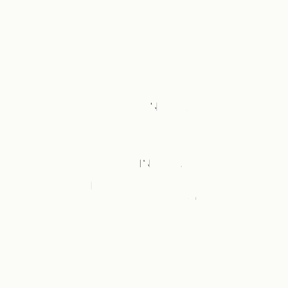 O=c1[nH]c(-c2ccccc2F)nc2c1C=CCC2